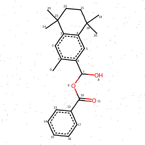 Cc1cc2c(cc1C(O)OC(=O)c1ccccc1)C(C)(C)CCC2(C)C